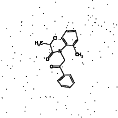 Cc1ccccc1N(CC(=O)c1ccccc1)C(=O)C(C)Cl